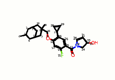 CC1CC2CC(C1)CC(C)(COc1cc(F)c(C(=O)N3CCC(O)C3)cc1C1CC1)C2